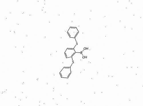 OB(O)c1c(Sc2ccccc2)cccc1Sc1ccccc1